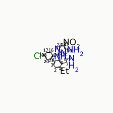 CCc1ccccc1CCN.Nc1nc(Nc2ccc(Cl)cc2)ncc1[N+](=O)[O-]